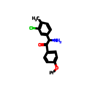 Cc1ccc(C(N)C(=O)c2ccc(OC(C)C)cc2)cc1Cl